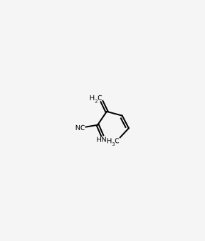 C=C(/C=C\C)C(=N)C#N